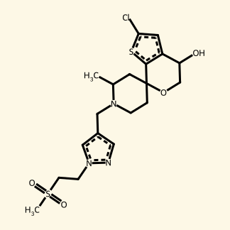 CC1CC2(CCN1Cc1cnn(CCS(C)(=O)=O)c1)OCC(O)c1cc(Cl)sc12